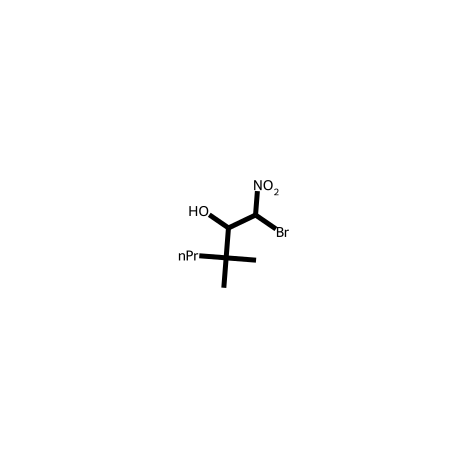 CCCC(C)(C)C(O)C(Br)[N+](=O)[O-]